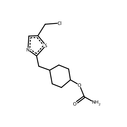 NC(=O)OC1CCC(Cc2ncc(CCl)s2)CC1